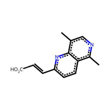 Cc1ncc(C)c2nc(C=CC(=O)O)ccc12